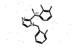 Cc1ccccc1Cn1ccnc1[C@@H](C)c1cccc(C)c1C